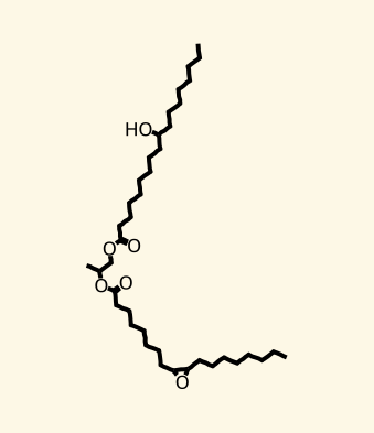 CCCCCCCCC(O)CCCCCCCCC(=O)OCC(C)OC(=O)CCCCCCCC1OC1CCCCCCCC